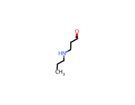 CCCNCC[C]=O